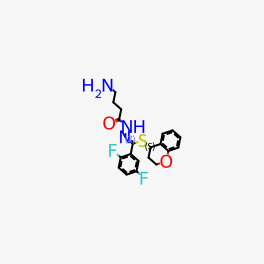 NCCCC(=O)N/N=C(\S[C@H]1CCOc2ccccc21)c1cc(F)ccc1F